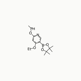 CCOc1cc(OPC)ncc1B1OC(C)(C)C(C)(C)O1